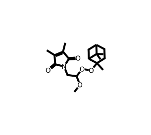 COC(CN1C(=O)C(C)=C(C)C1=O)OOC1(C)CCC2CC1C2(C)C